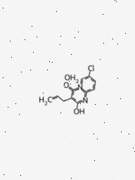 C=CCc1c(O)nc2ccc(Cl)cn2c1=O.O